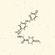 CN1CCN(C(=O)CN[C@@H]2C[C@H]2c2ccc(OCc3ccc(Cl)cc3)cc2)CC1